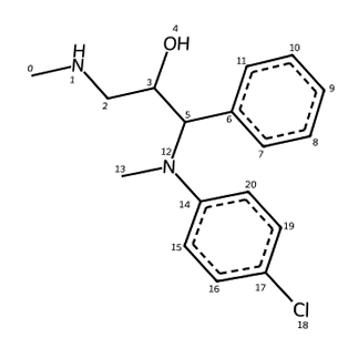 CNCC(O)C(c1ccccc1)N(C)c1ccc(Cl)cc1